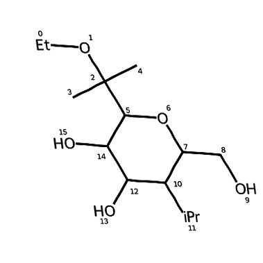 CCOC(C)(C)C1OC(CO)C(C(C)C)C(O)C1O